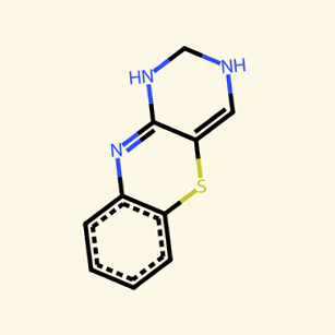 C1=C2Sc3ccccc3N=C2NCN1